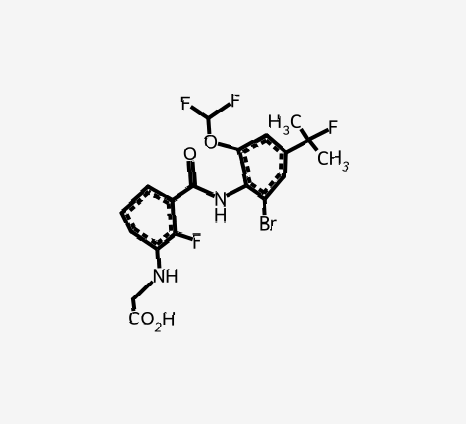 CC(C)(F)c1cc(Br)c(NC(=O)c2cccc(NCC(=O)O)c2F)c(OC(F)F)c1